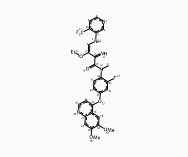 CCO/C(=C/Nc1cnccc1C(F)(F)F)C(=N)C(=O)N(C)c1ccc(Oc2ccnc3cc(OC)c(OC)cc23)cc1F